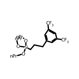 CCCO[Si](CCCc1cc(C(F)(F)F)cc(C(F)(F)F)c1)(OCCC)OCCC